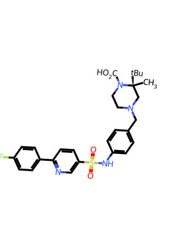 CC(C)(C)[C@@]1(C)CN(Cc2ccc(NS(=O)(=O)c3ccc(-c4ccc(F)cc4)nc3)cc2)CCN1C(=O)O